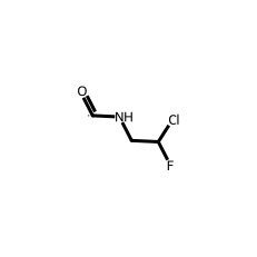 O=[C]NCC(F)Cl